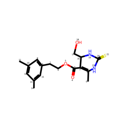 CC1=C(C(=O)OCCc2cc(C)cc(C)c2)C(CO)NC(=S)N1